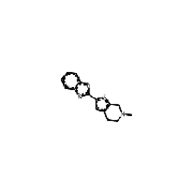 CN1CCc2cc(-c3nc4ccccc4s3)sc2C1